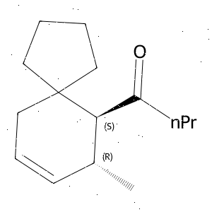 CCCC(=O)[C@H]1[C@H](C)C=CCC12CCCC2